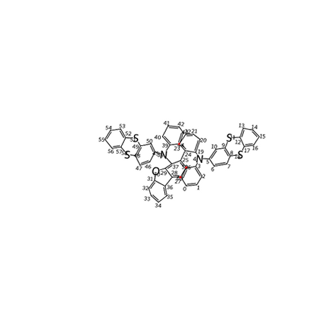 c1ccc(N(c2ccc3c(c2)Sc2ccccc2S3)c2ccccc2-c2ccc3c(oc4ccccc43)c2N(c2ccccc2)c2ccc3c(c2)Sc2ccccc2S3)cc1